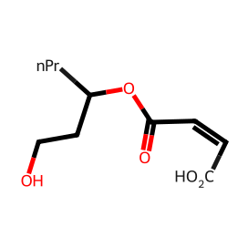 CCCC(CCO)OC(=O)/C=C\C(=O)O